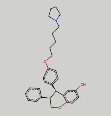 Oc1ccc2c(c1)[C@H](c1ccc(OCCCCCN3CCCC3)cc1)[C@H](c1ccccc1)CO2